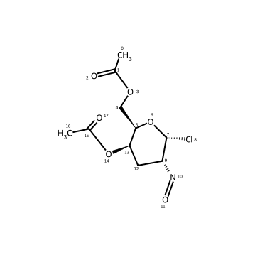 CC(=O)OC[C@H]1O[C@H](Cl)[C@H](N=O)C[C@H]1OC(C)=O